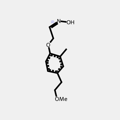 COCCc1ccc(OC/C=N\O)c(C)c1